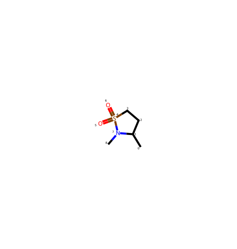 CC1CCS(=O)(=O)N1C